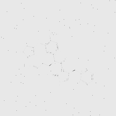 C=CCC[C@H](C(=O)N1C(=O)OC[C@@H]1Cc1ccccc1)c1ccc(OC)c(OC2CCCC2)c1